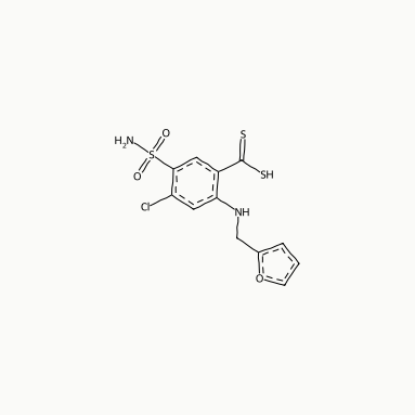 NS(=O)(=O)c1cc(C(=S)S)c(NCc2ccco2)cc1Cl